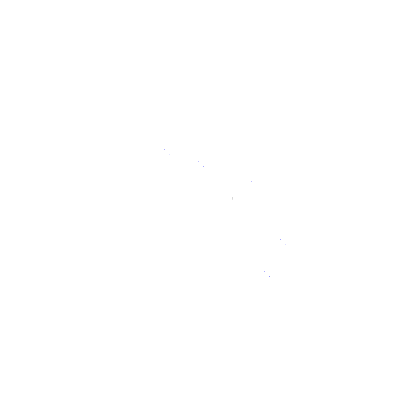 C[C@H](N)C(=O)N1CCC2(CC1)C[C@H](CCN1CCN(c3ccc(F)cc3)CC1)N(C)C2=O